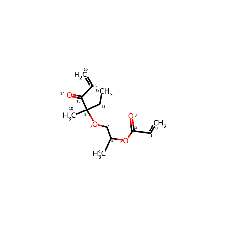 C=CC(=O)OC(C)COC(C)(CC)C(=O)C=C